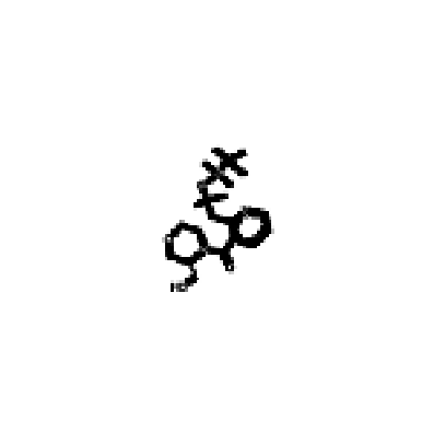 CC(C)(Cc1ncccc1C(=O)N1CCOC[C@H]1CO)O[Si](C)(C)C(C)(C)C